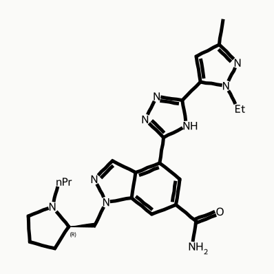 CCCN1CCC[C@@H]1Cn1ncc2c(-c3nnc(-c4cc(C)nn4CC)[nH]3)cc(C(N)=O)cc21